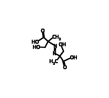 CC(CO)(N=NC(C)(CO)C(=O)O)C(=O)O